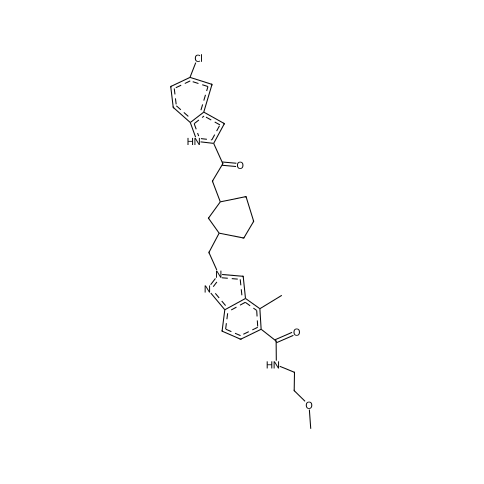 COCCNC(=O)c1ccc2nn(CC3CCCC(CC(=O)c4cc5cc(Cl)ccc5[nH]4)C3)cc2c1C